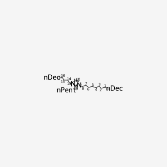 CCCCCCCCCCCCCCCCCCN1C=CN(CCCCCCCCCCCCCC)C1CCCCC